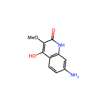 COc1c(O)c2ccc(N)cc2[nH]c1=O